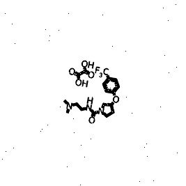 CN(C)CCNC(=O)N1CCC(Oc2ccc(C(F)(F)F)cc2)C1.O=C(O)C(=O)O